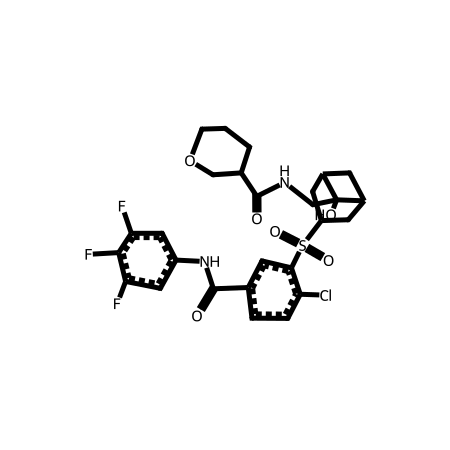 O=C(Nc1cc(F)c(F)c(F)c1)c1ccc(Cl)c(S(=O)(=O)C2CC3CC(C2)C3(O)CNC(=O)C2CCCOC2)c1